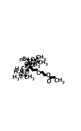 C=CC(=O)OCCOCCC[Si](C)(O[Si](C)(C)C)O[Si](C)(CCCC)O[Si](C)(C)C